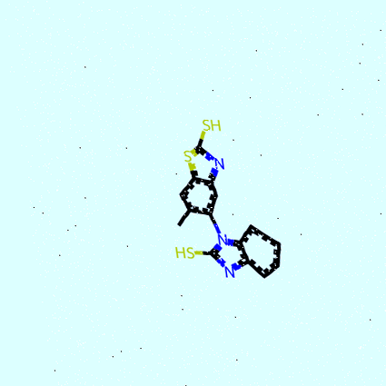 Cc1cc2sc(S)nc2cc1-n1c(S)nc2ccccc21